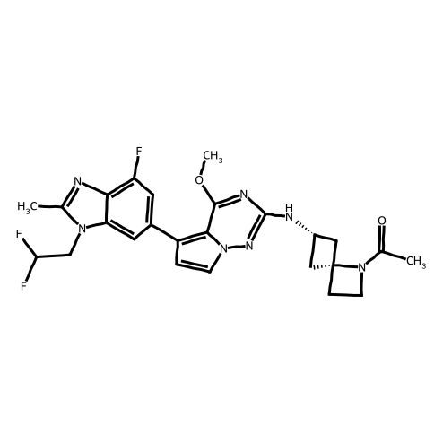 COc1nc(N[C@H]2C[C@]3(CCN3C(C)=O)C2)nn2ccc(-c3cc(F)c4nc(C)n(CC(F)F)c4c3)c12